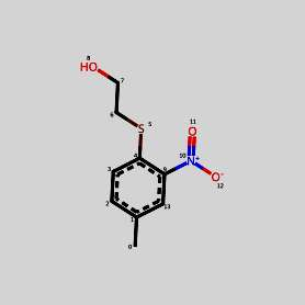 Cc1ccc(SCCO)c([N+](=O)[O-])c1